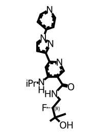 CC(C)Nc1cc(-c2ccn(-c3ccncc3)n2)ncc1C(=O)NC[C@@H](F)C(C)(C)O